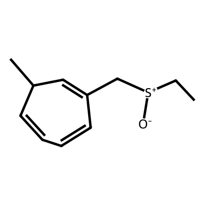 CC[S+]([O-])CC1=CC(C)C=CC=C1